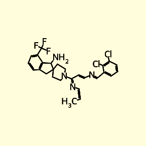 C\C=C/N=C(\C=C\N=C\c1cccc(Cl)c1Cl)N1CCC2(CC1)Cc1cccc(C(F)(F)F)c1C2N